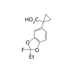 CCC1(F)Oc2ccc(C3(C(=O)O)CC3)cc2O1